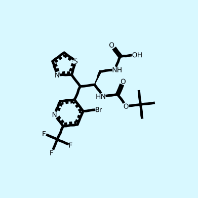 CC(C)(C)OC(=O)N[C@H](CNC(=O)O)C(c1nccs1)c1cnc(C(F)(F)F)cc1Br